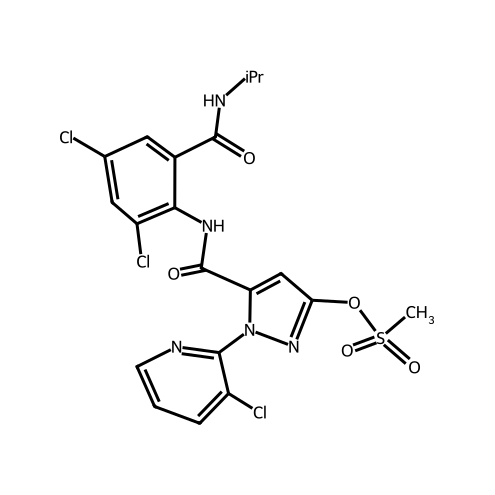 CC(C)NC(=O)c1cc(Cl)cc(Cl)c1NC(=O)c1cc(OS(C)(=O)=O)nn1-c1ncccc1Cl